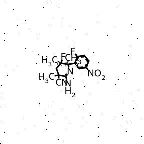 CC1(C#N)C[C@](C)(F)[C@@](C)(c2cc([N+](=O)[O-])ccc2F)N=C1N